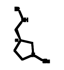 CCNC[C@@H]1CCN(C(C)(C)C)C1